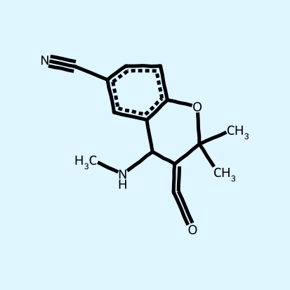 CNC1C(=C=O)C(C)(C)Oc2ccc(C#N)cc21